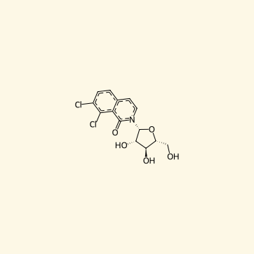 O=c1c2c(Cl)c(Cl)ccc2ccn1[C@@H]1O[C@H](CO)[C@@H](O)[C@@H]1O